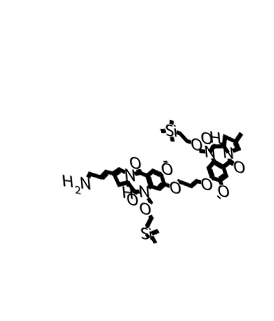 COc1cc2c(cc1OCCCOc1cc3c(cc1OC)C(=O)N1C=C(/C=C/CN)C[C@H]1C(=O)N3COCC[Si](C)(C)C)N(COCC[Si](C)(C)C)C(=O)[C@@H]1CC(C)=CN1C2=O